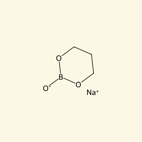 [Na+].[O-]B1OCCCO1